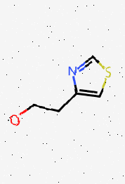 [O]CCc1cscn1